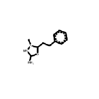 CN1NC(N)SC1CCc1ccccc1